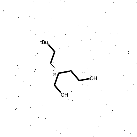 CC(C)(C)CC[C@@H](CO)CCO